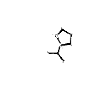 CC(C)B1CCCO1